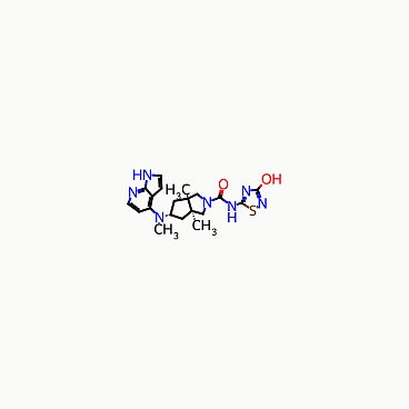 CN(c1ccnc2[nH]ccc12)[C@@H]1C[C@@]2(C)CN(C(=O)Nc3nc(O)ns3)C[C@@]2(C)C1